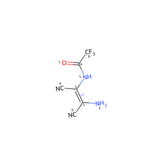 N#C/C(N)=C(\C#N)NC(=O)C(F)(F)F